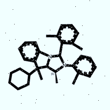 Cc1ccccc1N1C(c2c(C)cccc2C)N2c3ccccc3C(C)(C3CCCCC3)C2[C@@H]1C